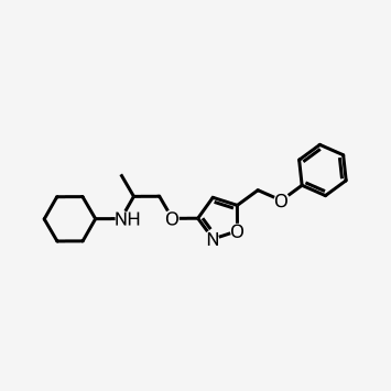 CC(COc1cc(COc2ccccc2)on1)NC1CCCCC1